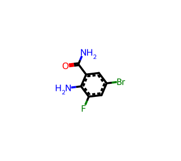 NC(=O)c1cc(Br)cc(F)c1N